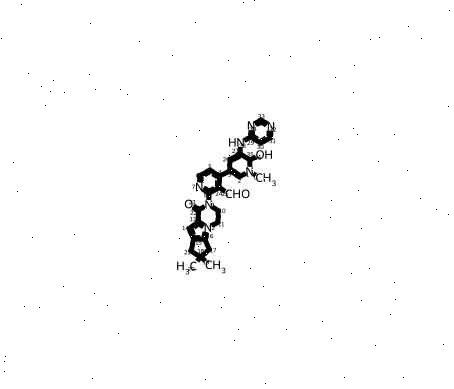 CN1C=C(c2ccnc(N3CCn4c(cc5c4CC(C)(C)C5)C3=O)c2C=O)C=C(Nc2ccncn2)C1O